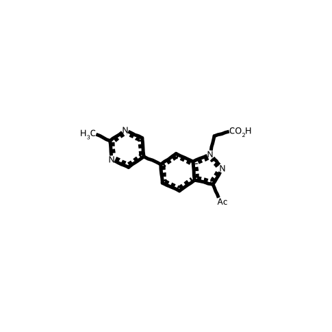 CC(=O)c1nn(CC(=O)O)c2cc(-c3cnc(C)nc3)ccc12